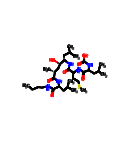 CCCCNC(=O)[C@H](CC(C)C)NC(=O)[C@H](C)C[C@H](O)[C@H](CC(C)C)NC(=O)[C@H](CCSC)NC(=O)[C@H](CC(C)C)NC(=O)O